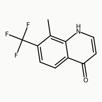 Cc1c(C(F)(F)F)ccc2c(=O)cc[nH]c12